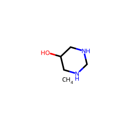 C.OC1CNCNC1